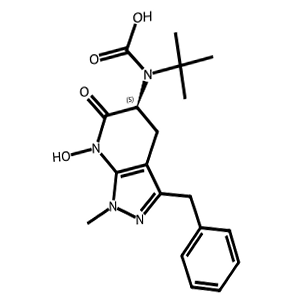 Cn1nc(Cc2ccccc2)c2c1N(O)C(=O)[C@@H](N(C(=O)O)C(C)(C)C)C2